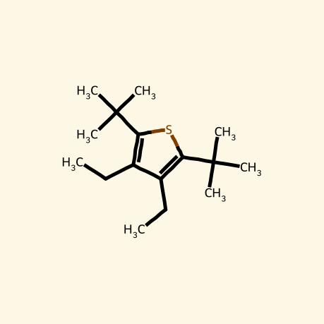 CCc1c(C(C)(C)C)sc(C(C)(C)C)c1CC